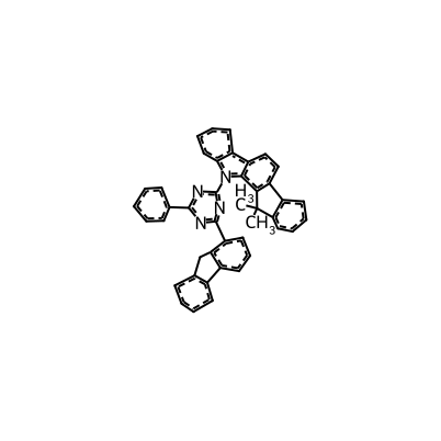 CC1(C)c2ccccc2-c2ccc3c4ccccc4n(-c4nc(-c5ccccc5)nc(-c5cccc6c5Cc5ccccc5-6)n4)c3c21